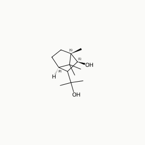 CC(C)(O)C1[C@H]2CC[C@](C)([C@H]1O)C2(C)C